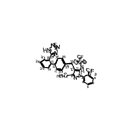 CCCCc1nn(-c2ccccc2C(F)(F)F)c(NS(=O)(=O)C(F)(F)F)c1Cc1ccc(-c2ccccc2-c2nnn[nH]2)cc1